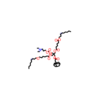 CCCCC/C=C\CCOCCCCCC(=O)OCC(COC(=O)CCCCC(=O)OCC/C=C\CCCCC)(COC(=O)CC12CC3CC(CC(C3)C1)C2)COC(=O)OCCCN(CC)CC